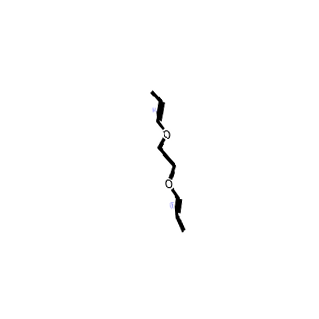 C/C=C/OCCO/C=C/C